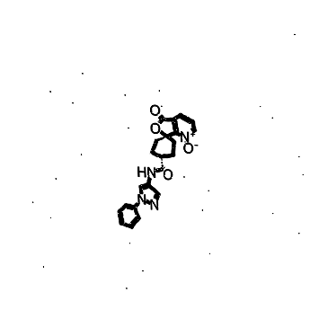 O=C1O[C@]2(CC[C@@H](C(=O)Nc3cnn(-c4ccccc4)c3)CC2)c2c1ccc[n+]2[O-]